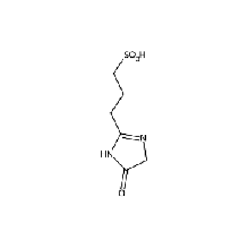 O=C1CN=C(CCCS(=O)(=O)O)N1